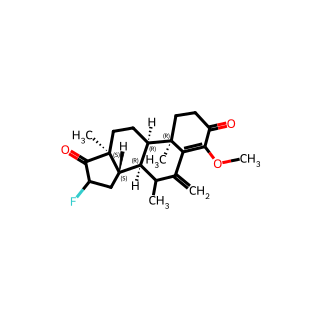 C=C1C2=C(OC)C(=O)CC[C@]2(C)[C@@H]2CC[C@]3(C)C(=O)C(F)C[C@H]3[C@@H]2C1C